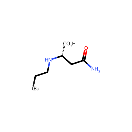 CC(C)(C)CCN[C@@H](CC(N)=O)C(=O)O